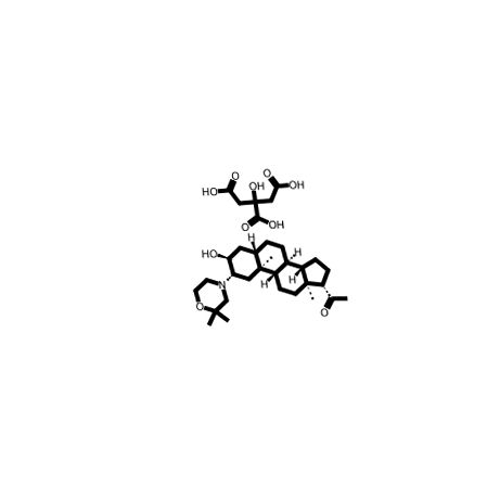 CC(=O)[C@H]1CC[C@H]2[C@@H]3CC[C@H]4C[C@H](O)[C@@H](N5CCOC(C)(C)C5)C[C@]4(C)[C@H]3CC[C@]12C.O=C(O)CC(O)(CC(=O)O)C(=O)O